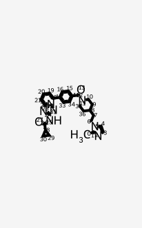 Cc1nccn1CCC1CCN(C(=O)c2ccc(-c3cccc4nc(NC(=O)C5CC5)nn34)cc2)CC1